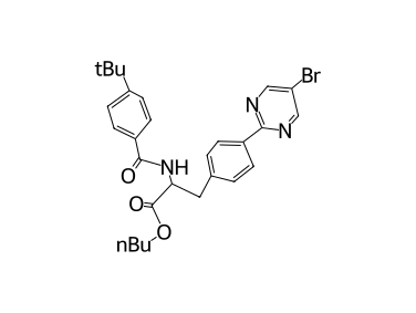 CCCCOC(=O)C(Cc1ccc(-c2ncc(Br)cn2)cc1)NC(=O)c1ccc(C(C)(C)C)cc1